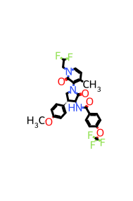 COc1ccc([C@@H]2CN(c3c(C)ccn(CC(F)F)c3=O)C(=O)[C@H]2NC(=O)c2ccc(OC(F)(F)F)cc2)cc1